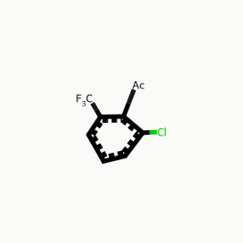 [CH2]C(=O)c1c(Cl)cccc1C(F)(F)F